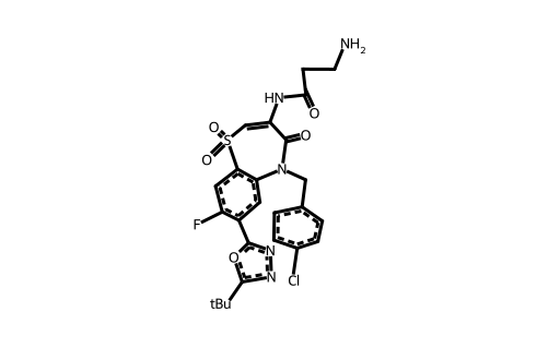 CC(C)(C)c1nnc(-c2cc3c(cc2F)S(=O)(=O)C=C(NC(=O)CCN)C(=O)N3Cc2ccc(Cl)cc2)o1